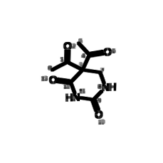 CC(=O)C1(C(C)=O)CNC(=O)NC1=O